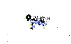 CCOC(=O)C1=C(CN2CCN3C(=S)N(C)C[C@H]3[C@@H]2C(=O)O)NC(c2nccs2)=N[C@H]1c1cccc(F)c1C